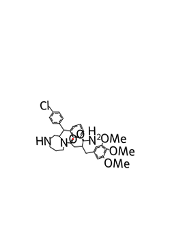 COc1cc(CC(CC(=O)N2CCCNCC2C(c2ccccc2)c2ccc(Cl)cc2)C(N)=O)cc(OC)c1OC